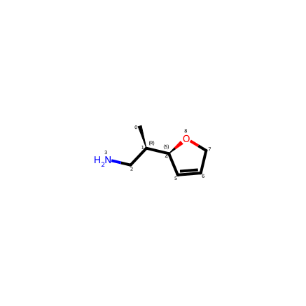 C[C@H](CN)[C@@H]1C=CCO1